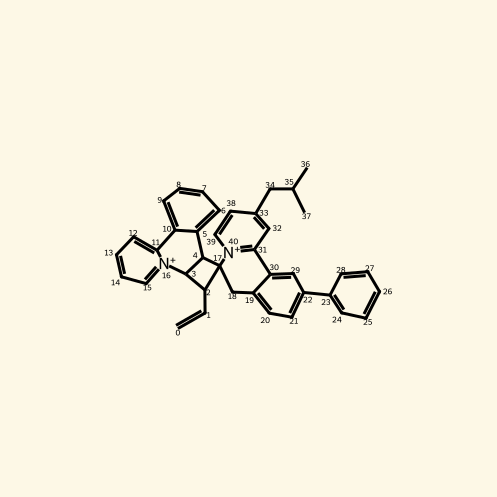 C=CC1C2C(c3ccccc3-c3cccc[n+]32)C12Cc1ccc(-c3ccccc3)cc1-c1cc(CC(C)C)cc[n+]12